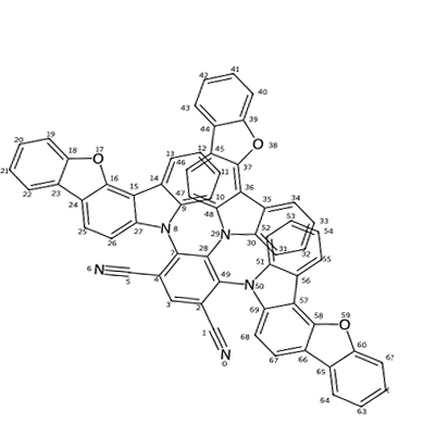 N#Cc1cc(C#N)c(-n2c3ccccc3c3c4oc5ccccc5c4ccc32)c(-n2c3ccccc3c3c4oc5ccccc5c4ccc32)c1-n1c2ccccc2c2c3oc4ccccc4c3ccc21